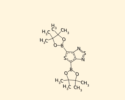 CC1(C)OB(c2sc(B3OC(C)(C)C(C)(C)O3)c3c2N=S=N3)OC1(C)C